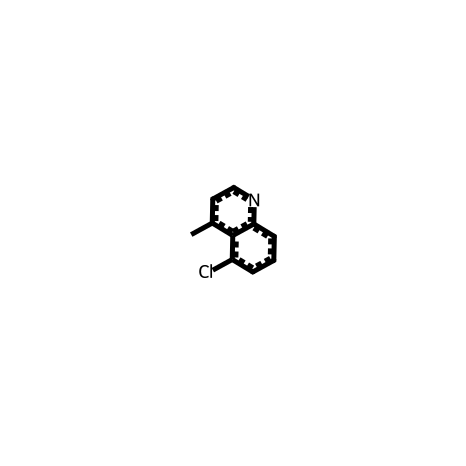 Cc1ccnc2cccc(Cl)c12